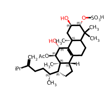 C=C(CC[C@@H](C)[C@H]1CC[C@H]2C3=C([C@@H](O)[C@H](OC(C)=O)[C@]12C)[C@@]1(C)C[C@@H](O)[C@H](OS(=O)(=O)O)C(C)(C)C1CC3)C(C)C